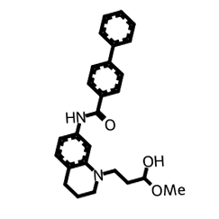 COC(O)CCN1CCCc2ccc(NC(=O)c3ccc(-c4ccccc4)cc3)cc21